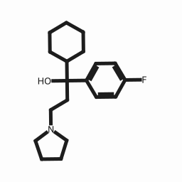 OC(CCN1CCCC1)(c1ccc(F)cc1)C1CCCCC1